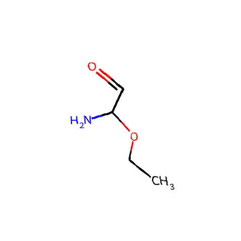 CCOC(N)C=O